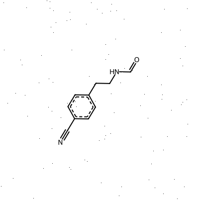 N#Cc1ccc(CCNC=O)cc1